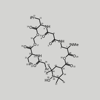 CNC(CNC(=O)CC(=O)NC(CC(C)C)C(=O)OCOC(=O)C(CC(C)C)NC(=O)CC(C)=O)C(=O)OC(=O)C1CC(C)(C)N(O)C(C)(C)C1